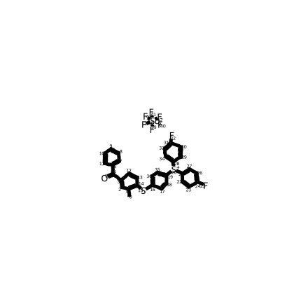 Cc1cc(C(=O)c2ccccc2)ccc1Sc1ccc([S+](c2ccc(F)cc2)c2ccc(F)cc2)cc1.[F][Sb-]([F])([F])([F])([F])[F]